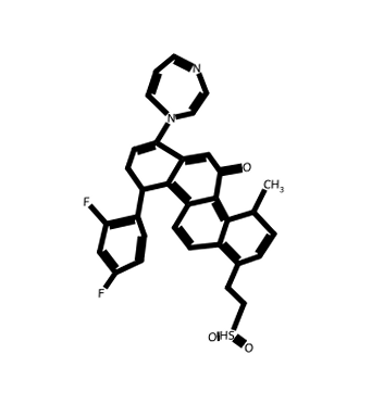 CC1C=CC(CC[SH](=O)=O)=c2ccc3c(c21)C(=O)C=C1C(N2C=CC=NC=C2)=CCC(c2ccc(F)cc2F)C=31